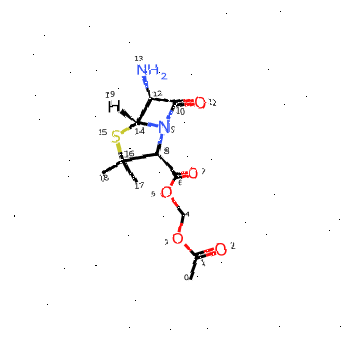 CC(=O)OCOC(=O)[C@@H]1N2C(=O)[C@H](N)[C@H]2SC1(C)C